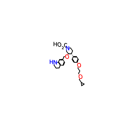 O=C(O)N1CC[C@H](c2ccc(OCCCOCC3CC3)cc2)[C@@H](OCc2ccc3c(c2)NCCC3)C1